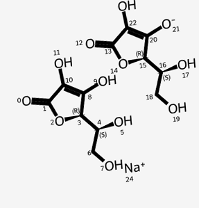 O=C1O[C@H]([C@@H](O)CO)C(O)=C1O.O=C1O[C@H]([C@@H](O)CO)C([O-])=C1O.[Na+]